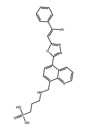 CCC/C(=C\c1nnc(-c2ccc(CNCCCP(=O)(O)O)c3ncccc23)o1)c1ccccc1